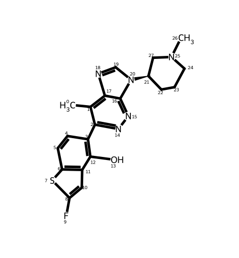 Cc1c(-c2ccc3sc(F)cc3c2O)nnc2c1ncn2[C@@H]1CCCN(C)C1